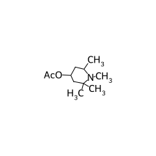 CC(=O)OC1CC(C)N(C)C(C)(C)C1